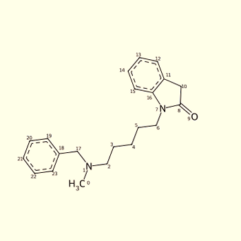 CN(CCCCCN1C(=O)Cc2ccccc21)Cc1ccccc1